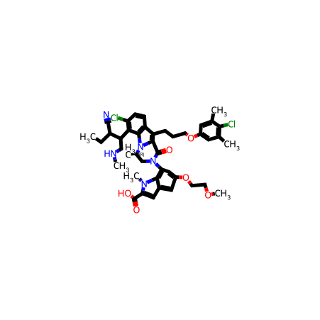 CCC(C#N)C(CNC)c1c(Cl)ccc2c(CCCOc3cc(C)c(Cl)c(C)c3)c3n(c12)[C@H](C)CN(c1cc(OCCOC)cc2cc(C(=O)O)n(C)c12)C3=O